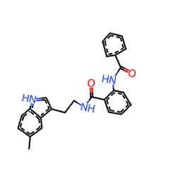 Cc1ccc2[nH]cc(CCNC(=O)c3ccccc3NC(=O)c3ccccc3)c2c1